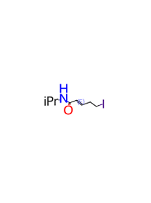 CC(C)NC(=O)/C=C/CCI